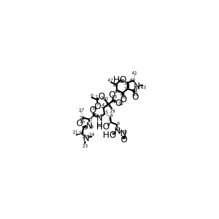 CC(=O)O[C@@H]([C@H](C[C@@H](O)CN(O)N=O)NC(=O)[C@H]1N=C([C@H](C)N(C)C)O[C@@H]1C)C(C)(C)C(=O)O[C@H](C(=O)C1=C(O)[C@H](C)N(C)C1=O)C(C)C